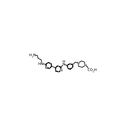 NCCCNc1ccc(-c2ccnc(Nc3cccc(CN4CCN(CC(=O)O)CC4)c3)c2)cn1